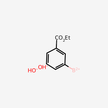 [B+2]c1cccc(C(=O)OCC)c1.[OH-].[OH-]